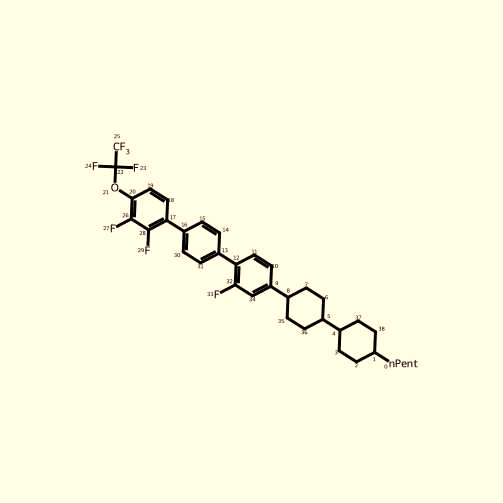 CCCCCC1CCC(C2CCC(c3ccc(-c4ccc(-c5ccc(OC(F)(F)C(F)(F)F)c(F)c5F)cc4)c(F)c3)CC2)CC1